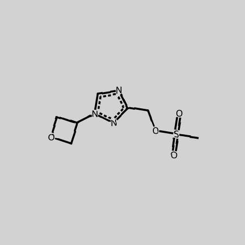 CS(=O)(=O)OCc1ncn(C2COC2)n1